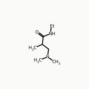 CCNC(=O)C(C)CN(C)C